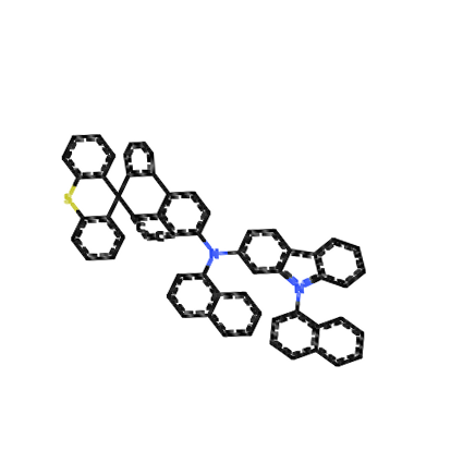 c1ccc2c(c1)Sc1ccccc1C21c2ccccc2-c2ccc(N(c3ccc4c5ccccc5n(-c5cccc6ccccc56)c4c3)c3cccc4ccccc34)c3cccc1c23